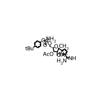 CC(=O)O[C@H]1[C@@H](OC(C)=O)[C@](C)(c2ccc(C(=N)N)[nH]2)O[C@@H]1COP(N)(=O)Oc1ccc(C(C)(C)C)cc1